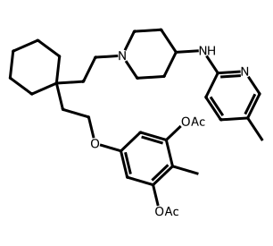 CC(=O)Oc1cc(OCCC2(CCN3CCC(Nc4ccc(C)cn4)CC3)CCCCC2)cc(OC(C)=O)c1C